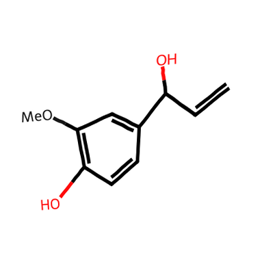 C=CC(O)c1ccc(O)c(OC)c1